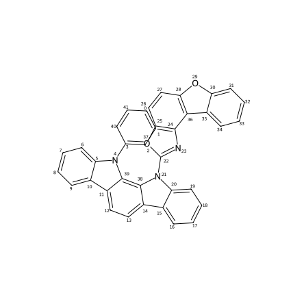 c1ccc(-n2c3ccccc3c3ccc4c5ccccc5n(-c5nc6c(ccc7oc8ccccc8c76)o5)c4c32)cc1